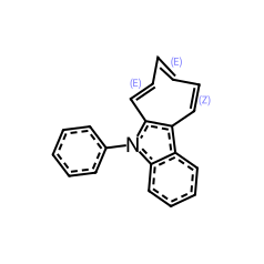 C1=C\c2c(n(-c3ccccc3)c3ccccc23)/C=C/C=C/1